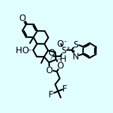 CC(F)(F)CCC1O[C@@H]2CC3C4CCC5=CC(=O)C=CC5(C)C4[C@@H](O)CC3(C)[C@]2(C(=O)C[S+]([O-])c2nc3ccccc3s2)O1